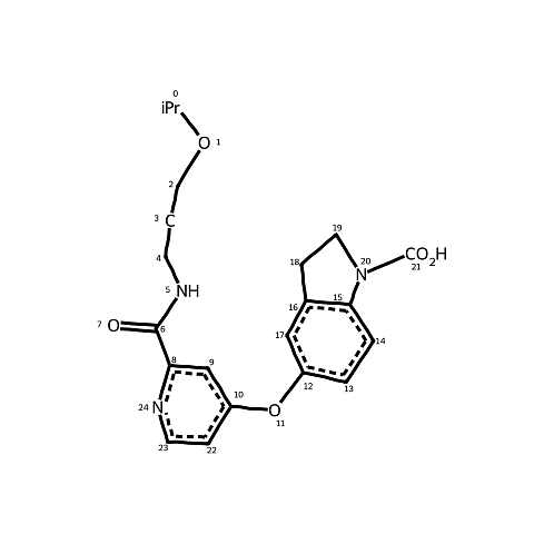 CC(C)OCCCNC(=O)c1cc(Oc2ccc3c(c2)CCN3C(=O)O)ccn1